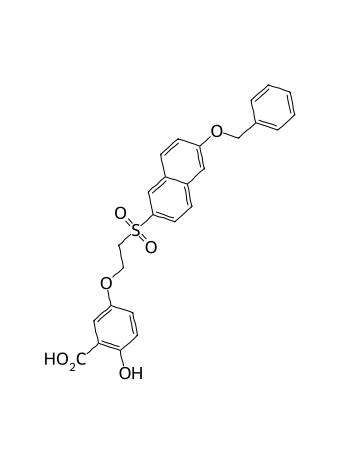 O=C(O)c1cc(OCCS(=O)(=O)c2ccc3cc(OCc4ccccc4)ccc3c2)ccc1O